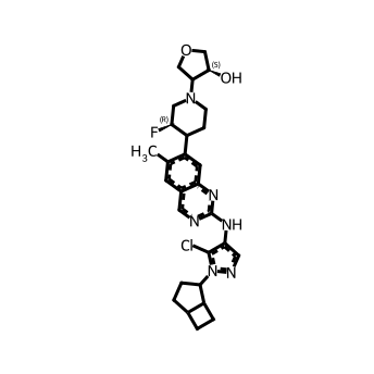 Cc1cc2cnc(Nc3cnn(C4CCC5CCC54)c3Cl)nc2cc1C1CCN(C2COC[C@H]2O)C[C@@H]1F